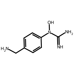 N=C(N)N(O)c1ccc(CN)cc1